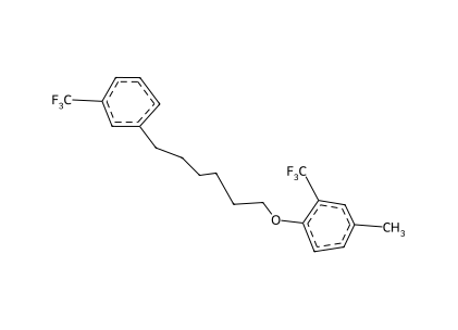 Cc1ccc(OCCCCCCc2cccc(C(F)(F)F)c2)c(C(F)(F)F)c1